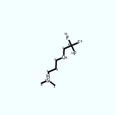 C[SiH](C)CCCOCC(F)(F)F